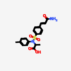 Cc1ccc(N(C(C)C(=O)O)S(=O)(=O)c2ccc(/C=C/C(N)=O)cc2)cc1